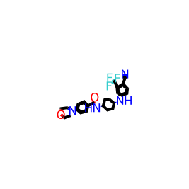 N#Cc1ccc(N[C@H]2CC[C@@H](NC(=O)c3ccc(N4CCOCC4)cc3)CC2)cc1C(F)(F)F